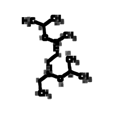 CC[SiH](CC[SiH](C)OC(C)C)OC(C)C